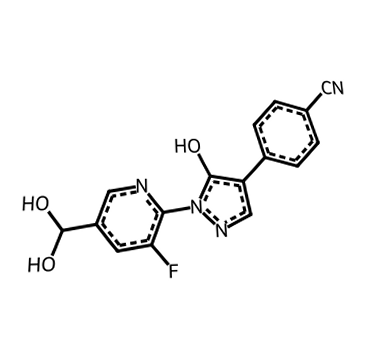 N#Cc1ccc(-c2cnn(-c3ncc(C(O)O)cc3F)c2O)cc1